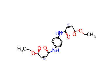 CCOC(=O)/C=C\C(=O)Nc1ccc(NC(=O)/C=C\C(=O)OCC)cc1